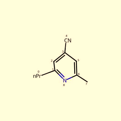 CCCc1cc(C#N)cc(C)n1